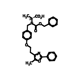 Cc1oc(-c2ccccc2)nc1CCOc1ccc(CN(C(=O)OCc2ccccc2)[C@H](C)C(=O)O)cc1